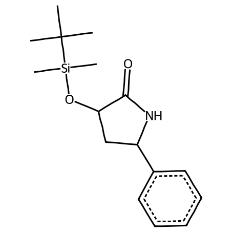 CC(C)(C)[Si](C)(C)OC1CC(c2ccccc2)NC1=O